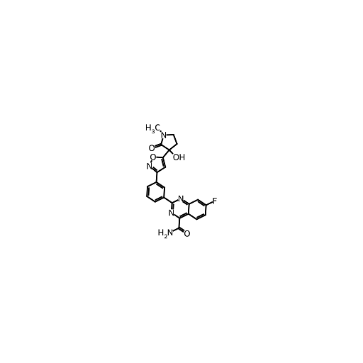 CN1CCC(O)(c2cc(-c3cccc(-c4nc(C(N)=O)c5ccc(F)cc5n4)c3)no2)C1=O